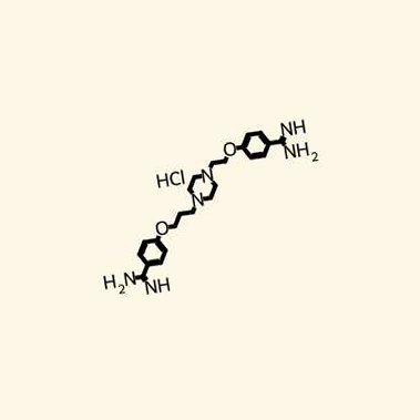 Cl.N=C(N)c1ccc(OCCCN2CCN(CCOc3ccc(C(=N)N)cc3)CC2)cc1